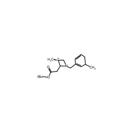 CC1C=C(CN2C[C@H](C)C2CC(=O)OC(C)(C)C)C=CC1